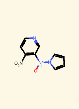 O=[N+]([O-])c1ccncc1[NH+]([O-])n1cccc1